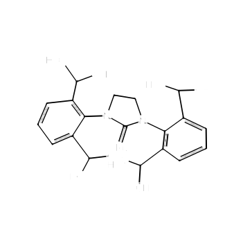 CC(C)c1cccc(C(C)C)c1N1CCN(c2c(C(C)C)cccc2C(C)C)[C]1=[Ru]